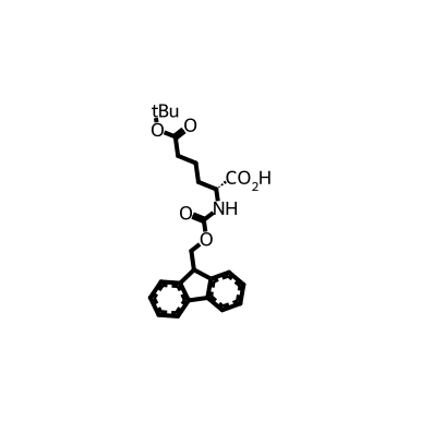 CC(C)(C)OC(=O)CCC[C@@H](NC(=O)OCC1c2ccccc2-c2ccccc21)C(=O)O